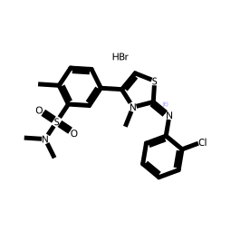 Br.Cc1ccc(-c2cs/c(=N/c3ccccc3Cl)n2C)cc1S(=O)(=O)N(C)C